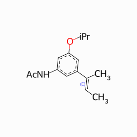 C/C=C(\C)c1cc(NC(C)=O)cc(OC(C)C)c1